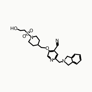 N#Cc1cc(CN2Cc3ccccc3C2)ncc1OCC1CCN(S(=O)(=O)CCO)CC1